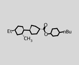 CCCCC1CCC(OC(=O)[C@H]2CC[C@H]([C@@H]3CC[C@H](CC)C[C@H]3C)CC2)CC1